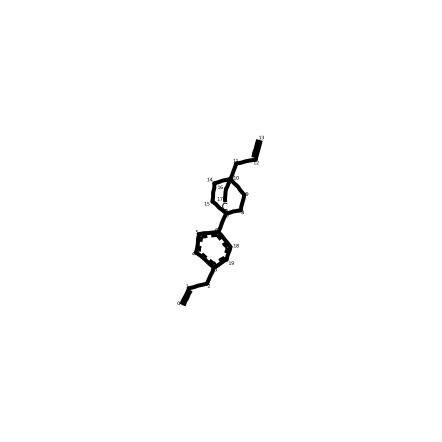 C=CCc1ccc(C23CCC(CC=C)(CC2)CC3)cc1